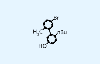 CCCCc1ccc(O)cc1-c1cc(Br)ccc1C